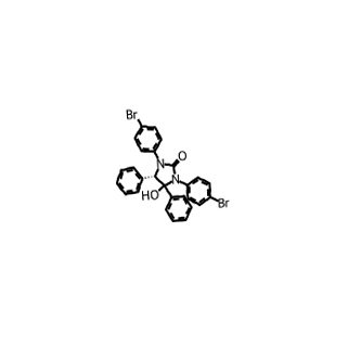 O=C1N(c2ccc(Br)cc2)[C@@H](c2ccccc2)C(O)(c2ccccc2)N1c1ccc(Br)cc1